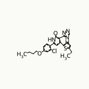 CCCCOc1ccc(-c2cc(-c3ccc(CC)s3)c(-c3nnc[nH]3)c(=O)[nH]2)c(Cl)c1